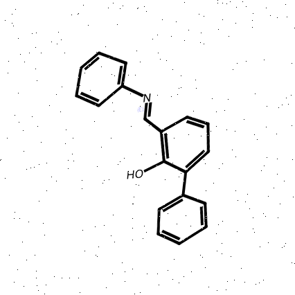 Oc1c(/C=N/c2ccccc2)cccc1-c1ccccc1